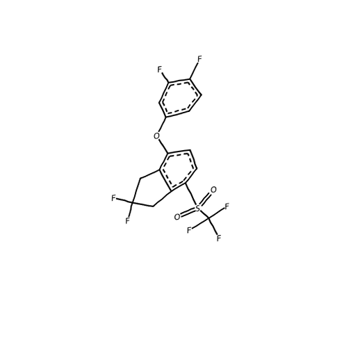 O=S(=O)(c1ccc(Oc2ccc(F)c(F)c2)c2c1CC(F)(F)C2)C(F)(F)F